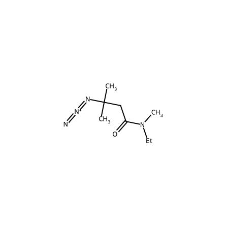 CCN(C)C(=O)CC(C)(C)N=[N+]=[N-]